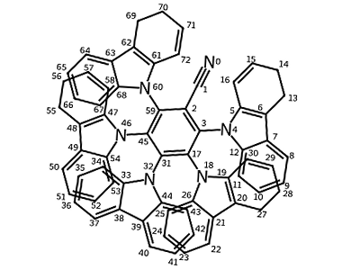 N#Cc1c(-n2c3c(c4ccccc42)CCC=C3)c(-n2c3c(c4ccccc42)CCC=C3)c(-n2c3ccccc3c3ccccc32)c(-n2c3c(c4ccccc42)CCC=C3)c1-n1c2c(c3ccccc31)CCC=C2